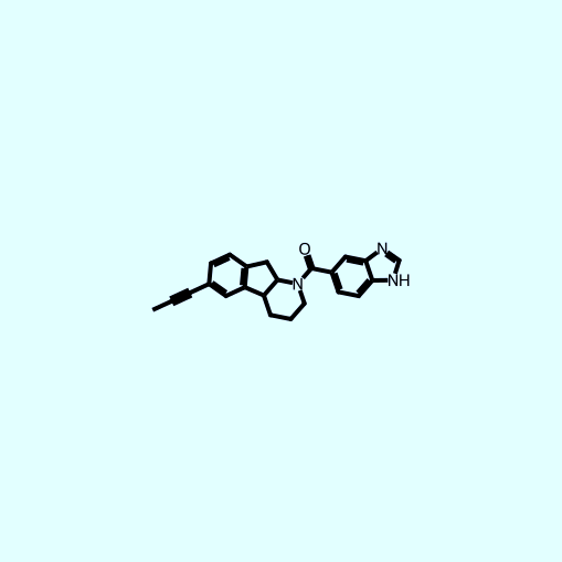 CC#Cc1ccc2c(c1)C1CCCN(C(=O)c3ccc4[nH]cnc4c3)C1C2